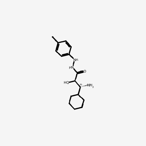 Cc1ccc(NNC(=O)C(O)[C@H](N)C2CCCCC2)cc1